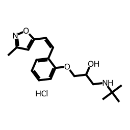 Cc1cc(/C=C\c2ccccc2OCC(O)CNC(C)(C)C)on1.Cl